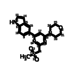 CS(=O)(=O)Cc1nc(-c2ccc3[nH]ccc3c2)cc(N2CCOCC2)n1